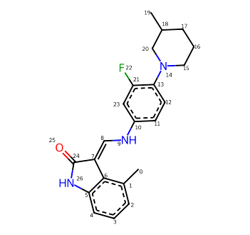 Cc1cccc2c1/C(=C\Nc1ccc(N3CCCC(C)C3)c(F)c1)C(=O)N2